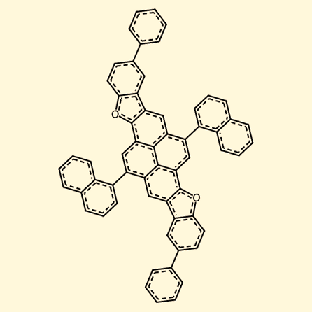 c1ccc(-c2ccc3oc4c(cc5c(-c6cccc7ccccc67)cc6c7oc8ccc(-c9ccccc9)cc8c7cc7c(-c8cccc9ccccc89)cc4c5c76)c3c2)cc1